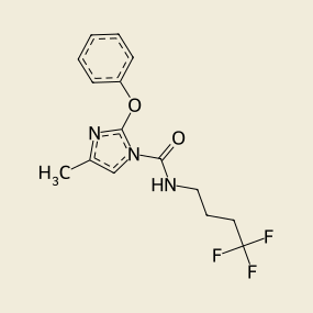 Cc1cn(C(=O)NCCCC(F)(F)F)c(Oc2ccccc2)n1